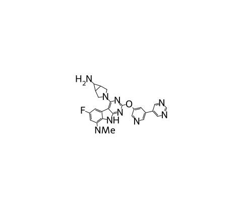 CNc1cc(F)cc2c1[nH]c1nc(Oc3cncc(-c4cncnc4)c3)nc(N3CC4C(N)C4C3)c12